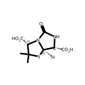 CC1(C)S[C@@H]2[C@@H](C(=O)O)NC(=O)N2[C@H]1C(=O)O